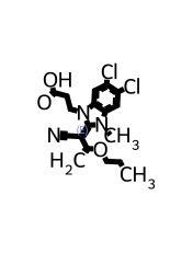 C=C(OCCC)/C(C#N)=C1\N(C)c2cc(Cl)c(Cl)cc2N1CCC(=O)O